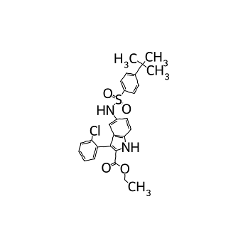 CCOC(=O)c1[nH]c2ccc(NS(=O)(=O)c3ccc(C(C)(C)C)cc3)cc2c1-c1ccccc1Cl